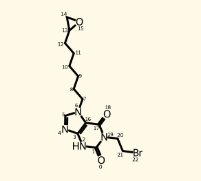 O=c1[nH]c2ncn(CCCCCCC3CO3)c2c(=O)n1CCBr